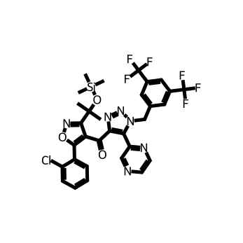 CC(C)(O[Si](C)(C)C)c1noc(-c2ccccc2Cl)c1C(=O)c1nnn(Cc2cc(C(F)(F)F)cc(C(F)(F)F)c2)c1-c1cnccn1